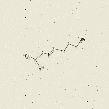 CC(C)CCCC=NCC(C)O